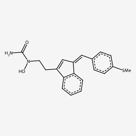 CSc1ccc(/C=C2/C=C(CCN(O)C(N)=O)c3ccccc32)cc1